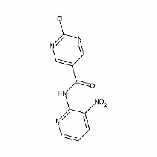 O=C(Nc1ncccc1[N+](=O)[O-])c1cnc(Cl)nc1